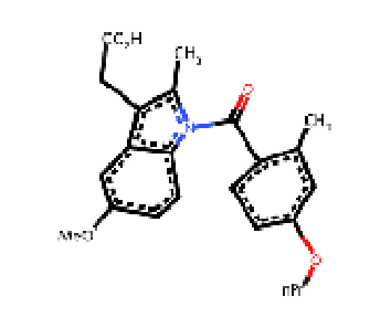 CCCOc1ccc(C(=O)n2c(C)c(CC(=O)O)c3cc(OC)ccc32)c(C)c1